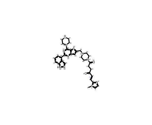 Cn1ccnc1/C=C/C(=O)CCC(=O)N1CCN(Cc2cc3nc(-c4cccc5[nH]ncc45)nc(N4CCOCC4)c3s2)CC1